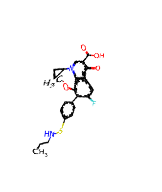 CCCNSc1ccc(-c2c(F)cc3c(=O)c(C(=O)O)cn(C4CC4)c3c2OC)cc1